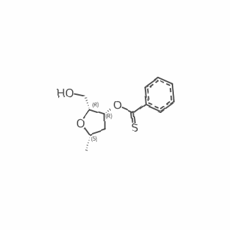 C[C@H]1C[C@@H](OC(=S)c2ccccc2)[C@@H](CO)O1